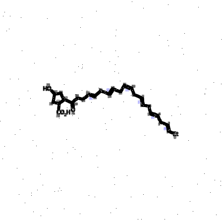 CC/C=C/C/C=C/C/C=C/C/C=C\C/C=C/C/C=C/CCC(=O)C1CC(O)CC1C(=O)O